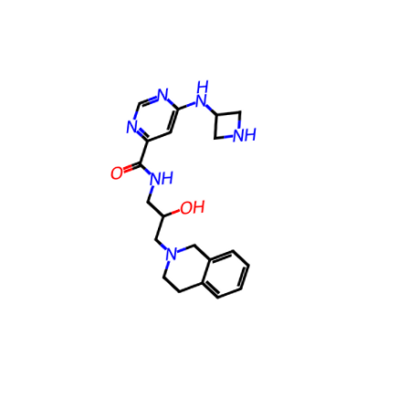 O=C(NCC(O)CN1CCc2ccccc2C1)c1cc(NC2CNC2)ncn1